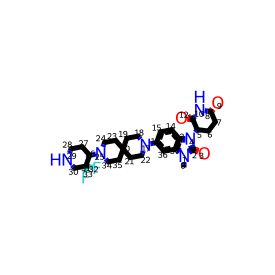 Cn1c(=O)n(C2CCC(=O)NC2=O)c2ccc(N3CCC4(CC3)CCN(C3CCNCC3(F)F)CC4)cc21